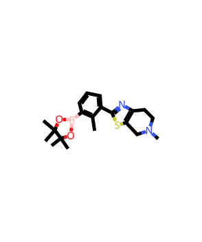 Cc1c(B2OC(C)(C)C(C)(C)O2)cccc1-c1nc2c(s1)CN(C)CC2